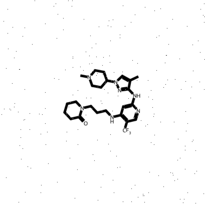 Cc1cn(C2CCN(C)CC2)nc1Nc1cc(NCCCN2CCCCC2=O)c(C(F)(F)F)cn1